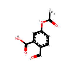 CC(=O)Oc1ccc(C=O)c(C(=O)O)c1